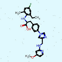 CCc1cc(F)cc(C)c1NC(Cc1ccc(-n2cnc(CNc3cc(OC)ccn3)c2)cc1)C(=O)O